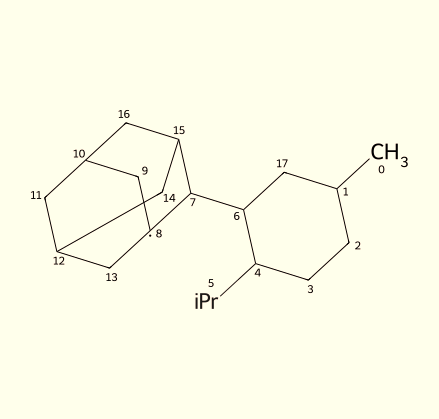 CC1CCC(C(C)C)C(C2[C]3CC4CC(C3)CC2C4)C1